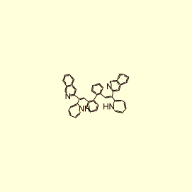 C1=CC=C(C(=Cc2ccccc2-c2ccccc2C=C(C2=CC=CC=CN2)c2cc3ccccc3cn2)c2cc3ccccc3cn2)NC=C1